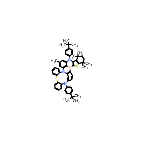 Cc1cc2c3c(c1)N(c1ccc(C(C)(C)C)cc1)c1c(sc4c1C(C)(C)CCC4(C)C)B3c1ccc3cc1N2c1ccccc1Sc1ccccc1N3c1ccc(C(C)(C)C)cc1